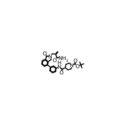 C=C(CN1Cc2c(cccc2-c2cccc(NC(=O)C3CCN(C(=O)OC(C)(C)C)CC3)c2)C1=O)C(N)=O